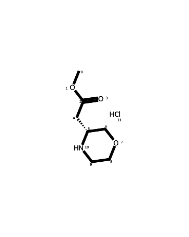 COC(=O)C[C@@H]1COCCN1.Cl